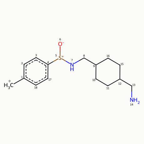 Cc1ccc([S+]([O-])NCC2CCC(CN)CC2)cc1